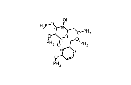 O[C@H]1C(COP)O[C@@H](O[C@H]2C(OP)C=COC2COP)C(OP)[C@H]1OP